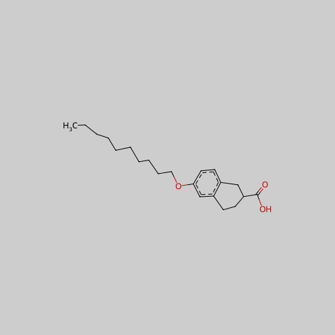 CCCCCCCCCCOc1ccc2c(c1)CCC(C(=O)O)C2